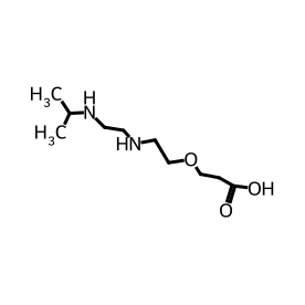 CC(C)NCCNCCOCCC(=O)O